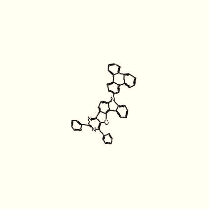 c1ccc(-c2nc(-c3ccccc3)c3oc4c(ccc5c4c4ccccc4n5-c4ccc5c6ccccc6c6ccccc6c5c4)c3n2)cc1